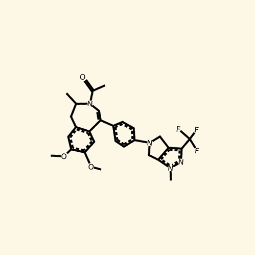 COc1cc2c(cc1OC)C(c1ccc(N3Cc4c(C(F)(F)F)nn(C)c4C3)cc1)=CN(C(C)=O)C(C)C2